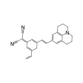 C=CC1=CC(=C(C#N)C#N)C=C(/C=C/c2cc3c4c(c2)CCCN4CCC3)C1